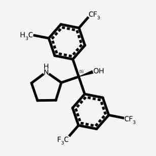 Cc1cc(C(F)(F)F)cc([C@](O)(c2cc(C(F)(F)F)cc(C(F)(F)F)c2)C2CCCN2)c1